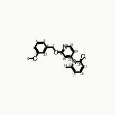 COc1cccc(COc2cc(-n3c(C)cccc3=O)ccn2)c1